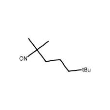 CC(C)(C)CCCC(C)(C)N=O